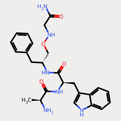 C[C@H](N)C(=O)N[C@H](Cc1c[nH]c2ccccc12)C(=O)N[C@@H](CONCC(N)=O)Cc1ccccc1